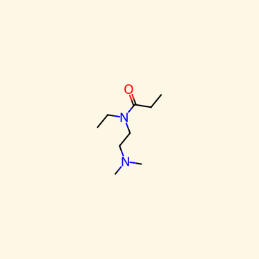 CCC(=O)N(CC)CCN(C)C